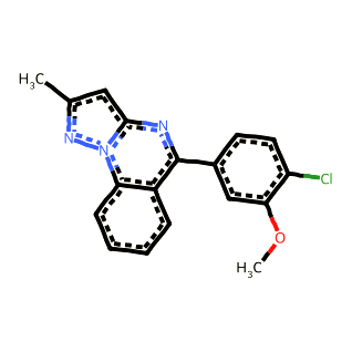 COc1cc(-c2nc3cc(C)nn3c3ccccc23)ccc1Cl